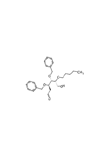 CCCCCO[C@H](CO)[C@@H](OCc1ccccc1)[C@@H](CC=O)OCc1ccccc1